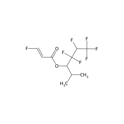 CC(C)C(OC(=O)C=CF)C(F)(F)C(F)C(F)(F)F